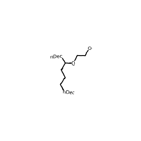 CCCCCCCCCCCCCC(CCCCCCCCCC)OCC[O]